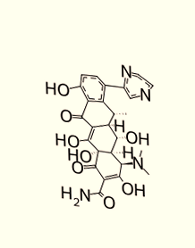 C[C@H]1c2c(-c3cnccn3)ccc(O)c2C(=O)C2=C(O)[C@]3(O)C(=O)C(C(N)=O)=C(O)[C@H](N(C)C)[C@@H]3[C@@H](O)[C@@H]21